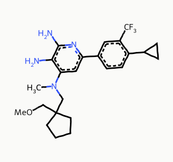 COCC1(CN(C)c2cc(-c3ccc(C4CC4)c(C(F)(F)F)c3)nc(N)c2N)CCCC1